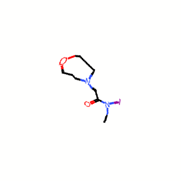 CN(I)C(=O)CN1CCOCC1